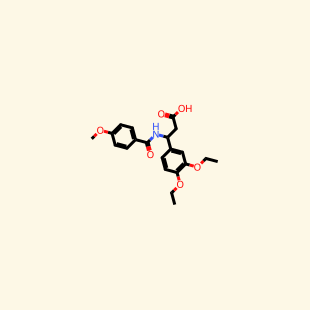 CCOc1ccc(C(CC(=O)O)NC(=O)c2ccc(OC)cc2)cc1OCC